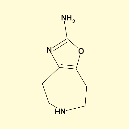 Nc1nc2c(o1)CCNCC2